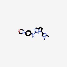 Cc1nc(-c2ccc3cnc(Nc4ccc(N5CCOCC5)cc4)nn23)cn1C